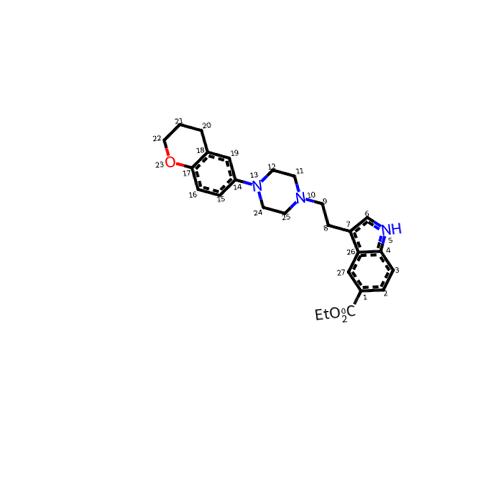 CCOC(=O)c1ccc2[nH]cc(CCN3CCN(c4ccc5c(c4)CCCO5)CC3)c2c1